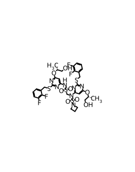 C[C@H](CO)Oc1cc(NS(=O)(=O)CN(c2cc(O[C@H](C)CO)nc(SCc3cccc(F)c3F)n2)S(=O)(=O)N2CCC2)nc(SCc2cccc(F)c2F)n1